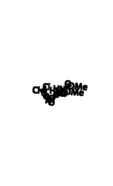 COC(=O)CCC(NC(=O)Nc1ccc(COC(=O)N(C)c2ccc(N(CCCl)CCCl)cc2)cc1)C(=O)OC